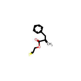 C=C(Cc1ccccc1)C(=O)OCC=S